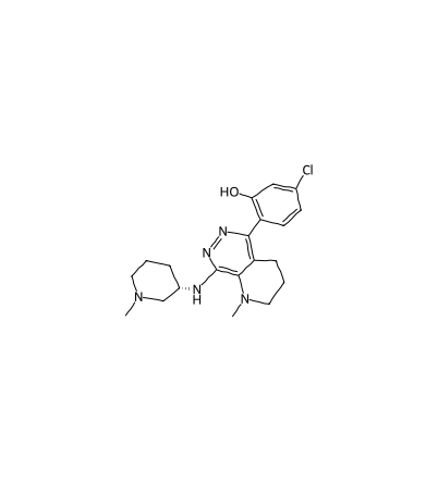 CN1CCC[C@H](Nc2nnc(-c3ccc(Cl)cc3O)c3c2N(C)CCC3)C1